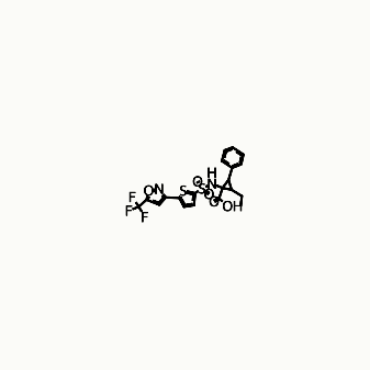 CCC1C(c2ccccc2)C1(NS(=O)(=O)c1ccc(-c2cc(C(F)(F)F)on2)s1)C(=O)O